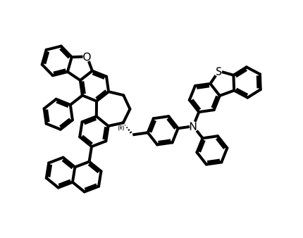 c1ccc(-c2c3c(cc4oc5ccccc5c24)CC[C@H](Cc2ccc(N(c4ccccc4)c4ccc5sc6ccccc6c5c4)cc2)c2cc(-c4cccc5ccccc45)ccc2-3)cc1